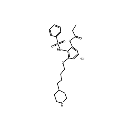 CCC(=O)Oc1cccc(OCCCCC2CCNCC2)c1NS(=O)(=O)c1ccccc1.Cl